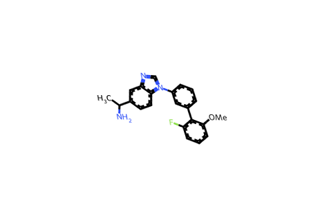 COc1cccc(F)c1-c1cccc(-n2cnc3cc(C(C)N)ccc32)c1